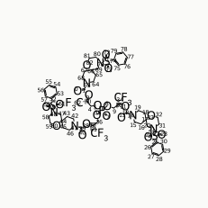 O=C(O[C@H](COP(=O)(OC[C@@H](OC(=O)N1CCC2(CC1)CN(S(=O)(=O)c1ccccc1)CCO2)C(F)(F)F)OC[C@@H](OC(=O)N1CCC2(CC1)CN(S(=O)(=O)c1ccccc1)CCO2)C(F)(F)F)C(F)(F)F)N1CCC2(CC1)CN(S(=O)(=O)c1ccccc1)CCO2